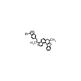 CC(C)c1nsc2cc(CC(C)c3nccc4cc(CC(C)c5nc6ccccc6s5)ccc34)ccc12